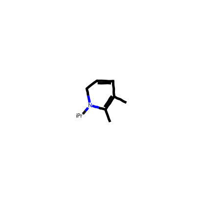 CC1=C(C)N(C(C)C)CC=C1